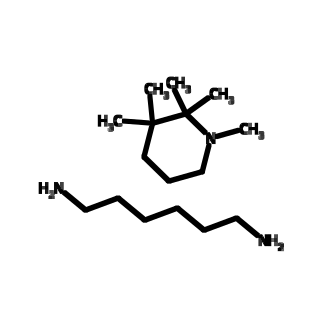 CN1CCCC(C)(C)C1(C)C.NCCCCCCN